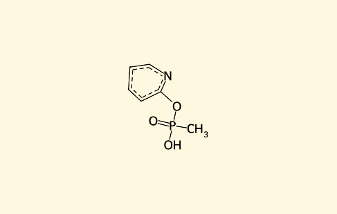 CP(=O)(O)Oc1ccccn1